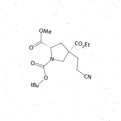 CCOC(=O)[C@@]1(CCC#N)C[C@@H](C(=O)OC)N(C(=O)OC(C)(C)C)C1